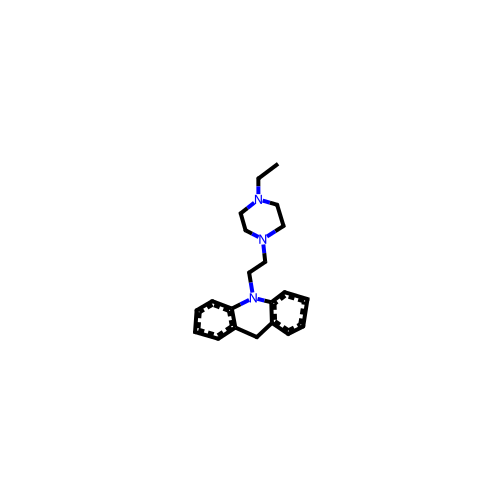 CCN1CCN(CCN2c3ccccc3Cc3ccccc32)CC1